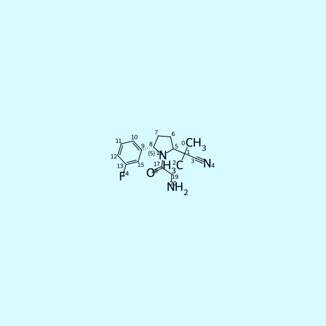 CC(C)(C#N)C1CC[C@@H](c2cccc(F)c2)N1C(=O)CN